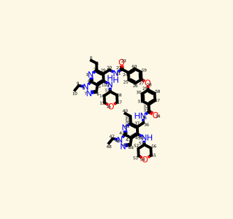 CCc1nc2c(cnn2CC)c(NC2CCOCC2)c1CNC(=O)c1ccc(Oc2ccc(C(=O)NCc3c(CC)nc4c(cnn4CC)c3NC3CCOCC3)cc2)cc1